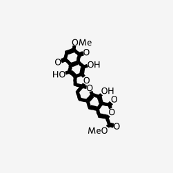 COC(=O)c1cc2cc3c(c(O)c2c(=O)o1)OC1(CC3)Cc2c(O)c3c(c(O)c2O1)C(=O)C(OC)=CC3=O